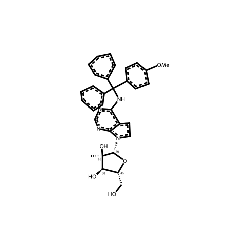 COc1ccc(C(Nc2ncnc3c2ccn3[C@@H]2O[C@H](CO)[C@@H](O)[C@@]2(C)O)(c2ccccc2)c2ccccc2)cc1